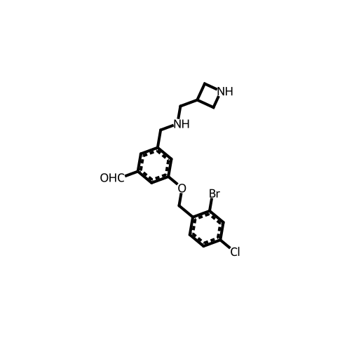 O=Cc1cc(CNCC2CNC2)cc(OCc2ccc(Cl)cc2Br)c1